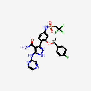 C[C@H](Oc1cc(NS(=O)(=O)CC(F)(F)F)ccc1-c1n[nH]c(Nc2cnccn2)c1C(N)=O)c1ccc(F)cc1